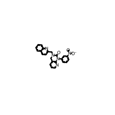 O=C1N(Cc2ccc3ccccc3n2)Cc2cccnc2N1c1cccc([N+](=O)[O-])c1